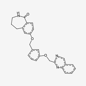 O=C1NCCCc2cc(OCc3cccc(OCc4ncc5ccccc5n4)c3)ccc21